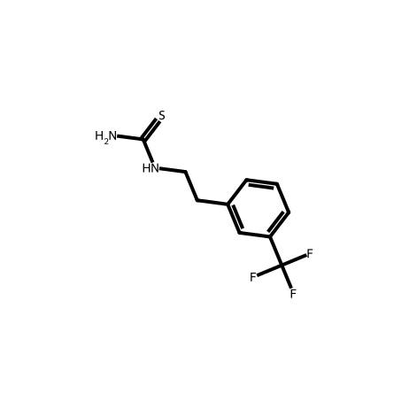 NC(=S)NCCc1cccc(C(F)(F)F)c1